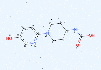 O=C(O)NC1CCN(c2ccc(O)cn2)CC1